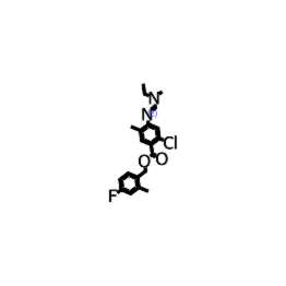 CCN(C)/C=N/c1cc(Cl)c(C(=O)OCc2ccc(F)cc2C)cc1C